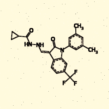 Cc1cc(C)cc(N2C(=O)/C(=C\NNC(=O)C3CC3)c3ccc(C(F)(F)F)cc32)c1